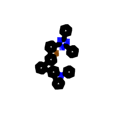 c1ccc(-c2nc(-c3ccccc3)nc(-c3cccc4c3sc3ccc(-c5ccccc5-c5ccc6c(c5)c5ccccc5n6-c5ccccc5)cc34)n2)cc1